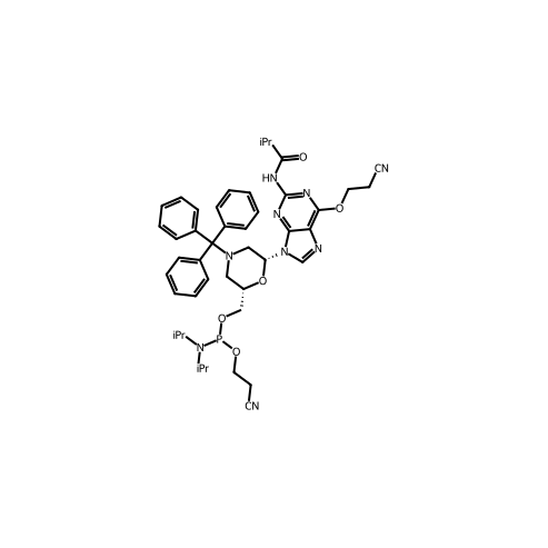 CC(C)C(=O)Nc1nc(OCCC#N)c2ncn([C@H]3CN(C(c4ccccc4)(c4ccccc4)c4ccccc4)C[C@@H](COP(OCCC#N)N(C(C)C)C(C)C)O3)c2n1